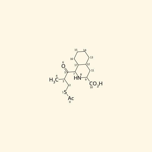 CC(=O)SCC(C)C(=O)C1NC(C(=O)O)CC2CCCCC21